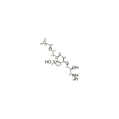 CC(C)NCC(O)COc1ccc(CCOCC2CC2)cc1.CS(=O)(=O)O